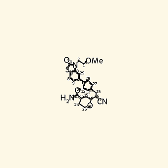 COCCn1c(=O)sc2ccc(-c3ccc(CC(C#N)C4CC(C(N)=O)CCO4)cc3)cc21